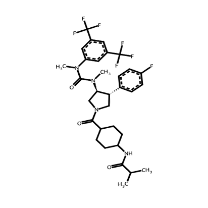 CC(C)C(=O)NC1CCC(C(=O)N2C[C@@H](N(C)C(=O)N(C)c3cc(C(F)(F)F)cc(C(F)(F)F)c3)[C@H](c3ccc(F)cc3)C2)CC1